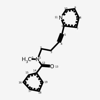 CN(CCC#Cc1ccccn1)C(=O)c1ccccc1